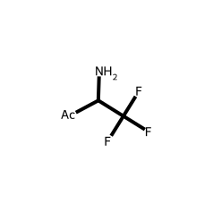 CC(=O)C(N)C(F)(F)F